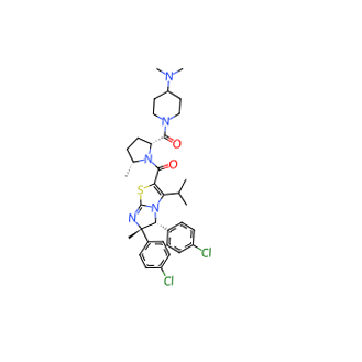 CC(C)C1=C(C(=O)N2[C@H](C)CC[C@@H]2C(=O)N2CCC(N(C)C)CC2)SC2=N[C@@](C)(c3ccc(Cl)cc3)[C@@H](c3ccc(Cl)cc3)N21